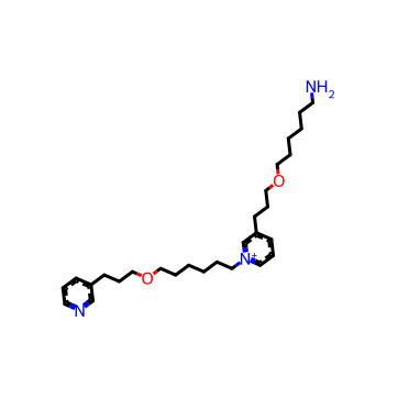 NCCCCCCOCCCc1ccc[n+](CCCCCCOCCCc2cccnc2)c1